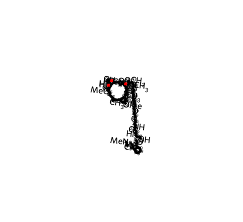 CNN(C)Cc1cc2ccccc2n1C(=O)C[C@@H](CO)NCC(=O)NCCOCCOCCOCCOCCC(=O)N(C)[C@@H](C)C(=O)O[C@H]1CC(=O)N(C)c2cc(cc(OC)c2Cl)C/C(C)=C/C=C/[C@@H](OC)[C@@]2(O)C[C@H](OC(=O)N2)C2(C)C[C@@]1(C)O2